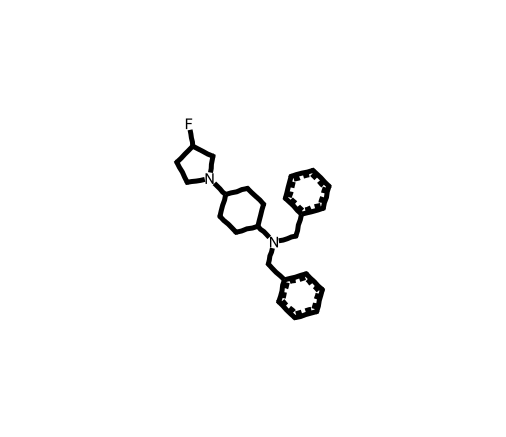 FC1CCN(C2CCC(N(Cc3ccccc3)Cc3ccccc3)CC2)C1